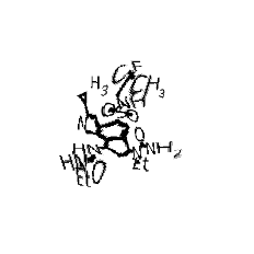 CCNC(=O)NC1CC(N(CC)C(N)=O)c2cc(S(=O)(=O)NCC(C)(C)F)c3cc(C4CC4)ncc3c21